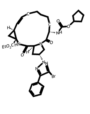 CCOC(=O)[C@@]12C[C@H]1/C=C\CCCCC[C@H](NC(=O)OC1CCCC1)C(=O)N1C[C@H](n3nc(Br)c(-c4ccccc4)n3)C[C@H]1C(=O)N2